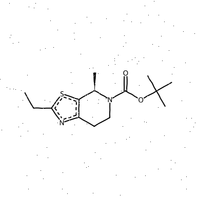 CCc1nc2c(s1)[C@@H](C)N(C(=O)OC(C)(C)C)CC2